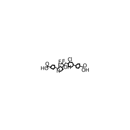 C[C@H](c1ccc(-c2ccc(C(=O)O)cc2)cc1Cl)[C@@](O)(c1ccnc(-c2ccc(C(=O)O)cc2)c1)C(F)(F)F